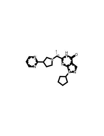 C[C@H](c1nc2c(cnn2C2CCCC2)c(=O)[nH]1)N1CCC(c2ncccn2)C1